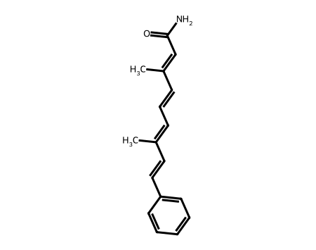 CC(/C=C/c1ccccc1)=C\C=C\C(C)=C\C(N)=O